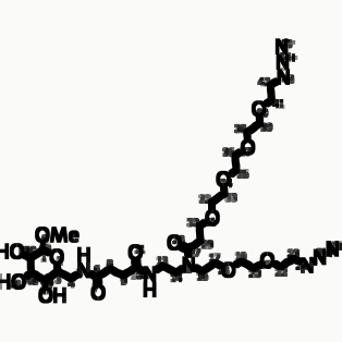 CO[C@H]1OC(CNC(=O)CCC(=O)NCCN(CCOCCOCCN=[N+]=[N-])C(=O)CCOCCOCCOCCOCCN=[N+]=[N-])[C@@H](O)C(O)C1O